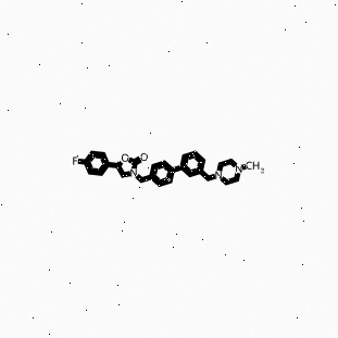 CN1CCN(Cc2cccc(-c3ccc(CN4CC(c5ccc(F)cc5)OC4=O)cc3)c2)CC1